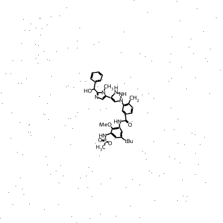 COc1c(NC(=O)c2ccc(C)c(N3C=C(c4cnc(C(O)c5ccccc5)n4C)NN3)c2)cc(C(C)(C)C)cc1NS(C)(=O)=O